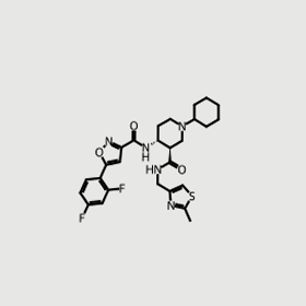 Cc1nc(CNC(=O)[C@@H]2CN(C3CCCCC3)CC[C@H]2NC(=O)c2cc(-c3ccc(F)cc3F)on2)cs1